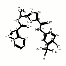 CC(NC(=O)c1cnn2ccccc12)c1ncc(C(=O)Nc2cc(C(F)(F)F)c(Cl)cn2)s1